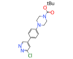 CC(C)(C)OC(=O)N1CCN(c2ccc(-c3cnnc(Cl)c3)cc2)CC1